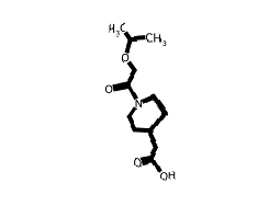 CC(C)OCC(=O)N1CCC(CC(=O)O)CC1